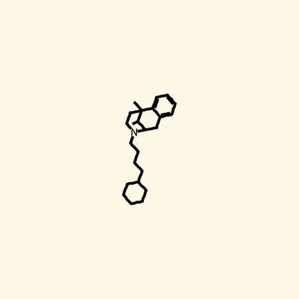 CC1C2Cc3ccccc3C1(C)CCN2CCCCC1CCCCC1